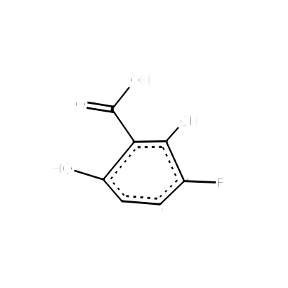 Cc1c(F)ccc(O)c1C(=O)O